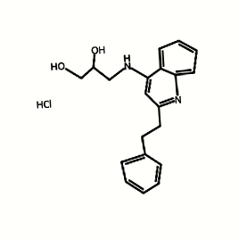 Cl.OCC(O)CNc1cc(CCc2ccccc2)nc2ccccc12